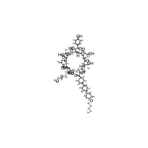 CCCCCOc1ccc(-c2ccc(-c3ccc(C(=O)N[C@H]4C[C@@H](O)C(NCCOCCOC)NC(=O)C5[C@@H](O)[C@@H](C)CN5C(=O)C([C@@H](C)O)NC(=O)C([C@H](O)[C@@H](O)c5ccc(O)cc5)NC(=O)C5C[C@@H](O)CN5C(=O)C([C@@H](C)O)NC4=O)cc3)cc2)cc1